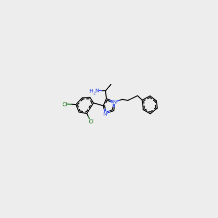 CC(N)c1c(-c2ccc(Cl)cc2Cl)ncn1CCCc1ccccc1